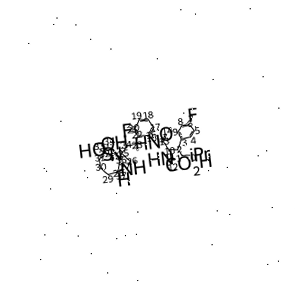 CC(C)C[C@H](c1ccc(F)cc1)[C@H](NC(=O)O)C(=O)Nc1cccc(F)c1CCC1CN[C@@H]2CCCS(O)(O)N1C2